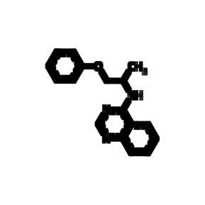 CC(COc1ccccc1)Nc1ncnc2ccccc12